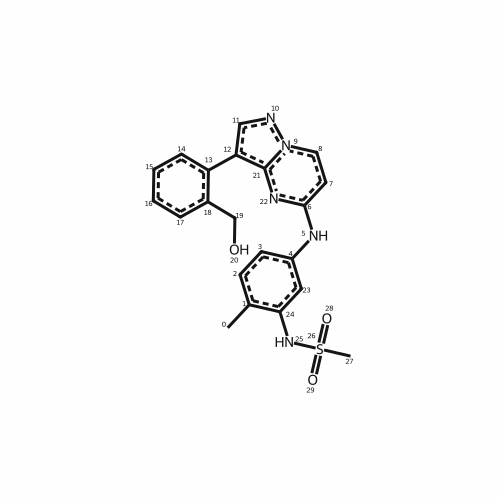 Cc1ccc(Nc2ccn3ncc(-c4ccccc4CO)c3n2)cc1NS(C)(=O)=O